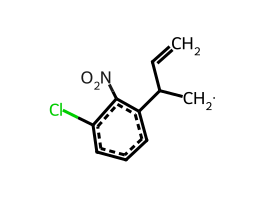 [CH2]C(C=C)c1cccc(Cl)c1[N+](=O)[O-]